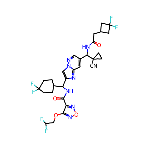 N#CC1(C(NC(=O)CC2CC(F)(F)C2)c2cnn3cc([C@@H](NC(=O)c4nonc4OCC(F)F)C4CCC(F)(F)CC4)nc3c2)CC1